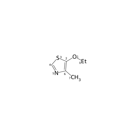 CCOc1scnc1C